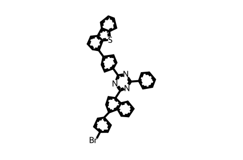 Brc1ccc(-c2ccc(-c3nc(-c4ccccc4)nc(-c4ccc(-c5cccc6c5sc5ccccc56)cc4)n3)c3ccccc23)cc1